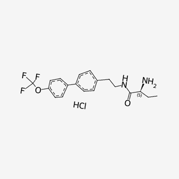 CC[C@H](N)C(=O)NCCc1ccc(-c2ccc(OC(F)(F)F)cc2)cc1.Cl